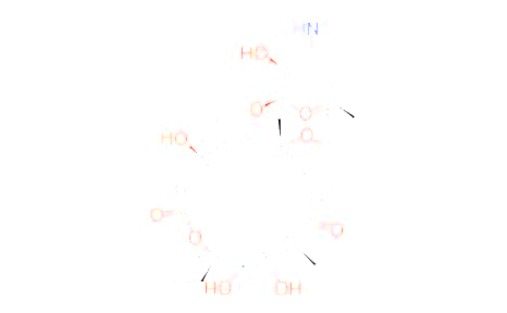 CC[C@H]1OC(=O)[C@H](C)[C@@H](O)[C@H](C)[C@H](O[C@@H]2O[C@H](C)CC(NC)[C@@H]2O)[C@](C)(OC)C[C@H](C)C(=O)[C@@H](C)[C@H](O)C1(C)O